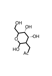 CC(=O)CC1C(O)OC(CO)[C@H](O)[C@@H]1O